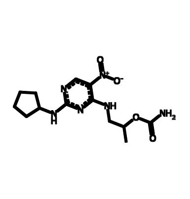 CC(CNc1nc(NC2CCCC2)ncc1[N+](=O)[O-])OC(N)=O